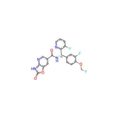 O=C(N[C@@H](c1ccc(OCF)c(F)c1)c1ncccc1F)c1cnc2[nH]c(=O)oc2c1